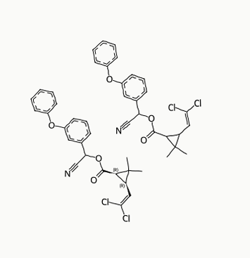 CC1(C)C(C=C(Cl)Cl)C1C(=O)OC(C#N)c1cccc(Oc2ccccc2)c1.CC1(C)[C@H](C(=O)OC(C#N)c2cccc(Oc3ccccc3)c2)[C@@H]1C=C(Cl)Cl